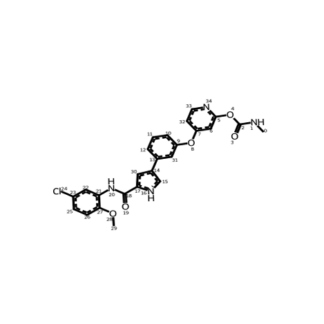 CNC(=O)Oc1cc(Oc2cccc(-c3c[nH]c(C(=O)Nc4cc(Cl)ccc4OC)c3)c2)ccn1